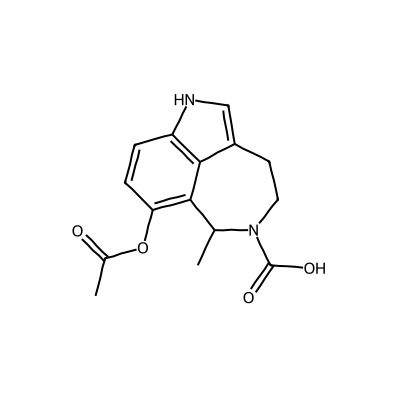 CC(=O)Oc1ccc2[nH]cc3c2c1C(C)N(C(=O)O)CC3